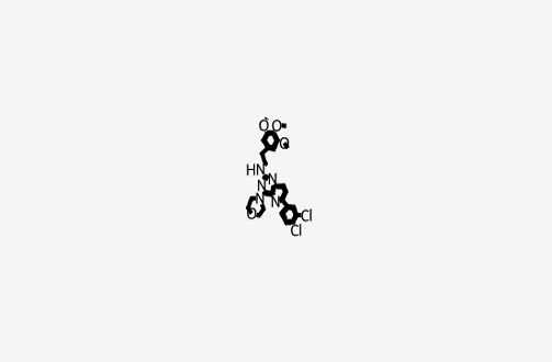 COc1cc(CCNc2nc(N3CCOCC3)c3nc(-c4ccc(Cl)c(Cl)c4)ccc3n2)cc(OC)c1OC